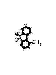 Cc1cccc2c1-c1ccccc1S2(=O)=O